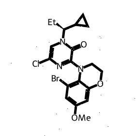 CC[C@@H](C1CC1)n1cc(Cl)nc(N2CCOc3cc(OC)cc(Br)c32)c1=O